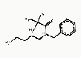 CC(C)C(C)(C)C(=O)[C@H](CCCCN)Cc1ccccc1